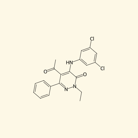 CCn1nc(-c2ccccc2)c(C(C)=O)c(Nc2cc(Cl)cc(Cl)c2)c1=O